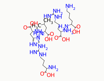 CC(C)CC(N)C(=O)O.N=C(N)NCCCC(N)C(=O)O.N=C(N)NCCCC(N)C(=O)O.NC(Cc1c[nH]cn1)C(=O)O.NCCCCC(N)C(=O)O